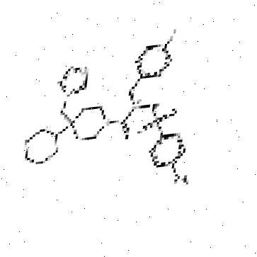 Cc1ccc(S(=O)(=O)N[C@H](Cc2ccc(Cl)cc2)C(=O)N2CCC(Cn3cncn3)(C3CCCCC3)CC2)cc1